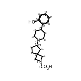 O=C(O)N1CC2(CC[C@@H](N3CCC(c4ccccc4O)CC3)C2)C1